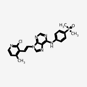 Cc1ccnc(Cl)c1/C=C/n1cnc2c(Nc3ccc(P(C)(C)=O)cc3)ncnc21